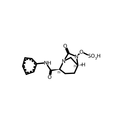 O=C(Nc1ccccc1)[C@@H]1CC[C@H]2CN1C(=O)N2OS(=O)(=O)O